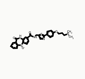 CN(C)CCCOc1ccc(-c2ncc(CNC(=O)c3ccc4c(c3)NC(=O)c3ccccc3[S+]4[O-])s2)cc1